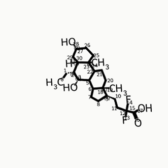 CC[C@H]1[C@@H](O)C2C3CC[C@H](CCC(F)(F)C(=O)O)[C@@]3(C)CCC2[C@@]2(C)CC[C@@H](O)C[C@@H]12